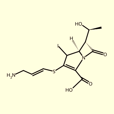 C[C@H](O)[C@@H]1C(=O)N2C(C(=O)O)=C(SC=CCN)C(I)[C@@H]12